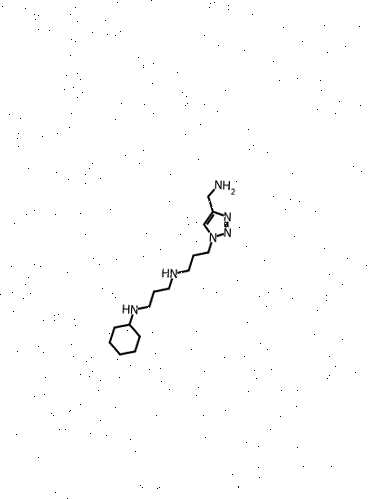 NCc1cn(CCCNCCCNC2CCCCC2)nn1